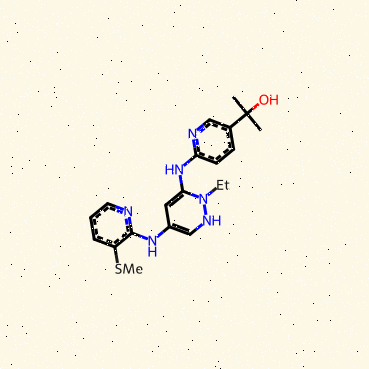 CCN1NC=C(Nc2ncccc2SC)C=C1Nc1ccc(C(C)(C)O)cn1